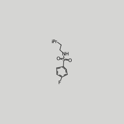 CC(C)CCNS(=O)(=O)c1ccc(F)cc1